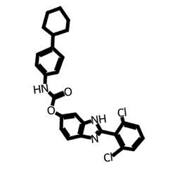 O=C(Nc1ccc(C2CCCCC2)cc1)Oc1ccc2nc(-c3c(Cl)cccc3Cl)[nH]c2c1